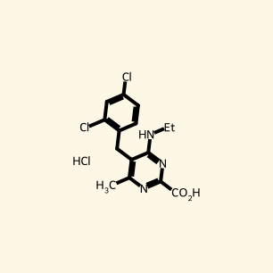 CCNc1nc(C(=O)O)nc(C)c1Cc1ccc(Cl)cc1Cl.Cl